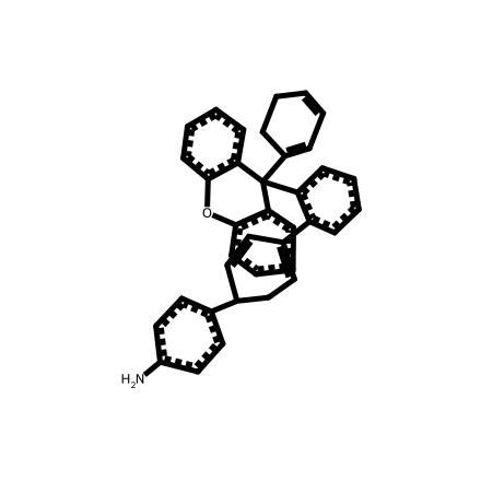 Nc1ccc(C2C=CC(c3ccccc3C3(C4=CC=CCC4)c4ccccc4Oc4ccccc43)=CC2)cc1